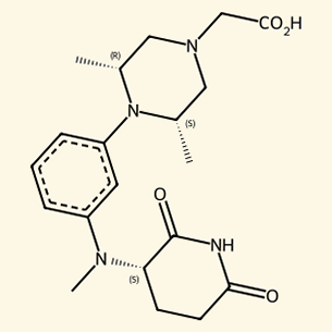 C[C@@H]1CN(CC(=O)O)C[C@H](C)N1c1cccc(N(C)[C@H]2CCC(=O)NC2=O)c1